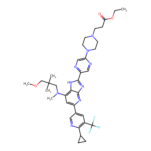 CCOC(=O)CCN1CCN(c2cnc(-c3nc4nc(-c5cnc(C6CC6)c(C(F)(F)F)c5)cc(N(C)CC(C)(C)COC)c4[nH]3)cn2)CC1